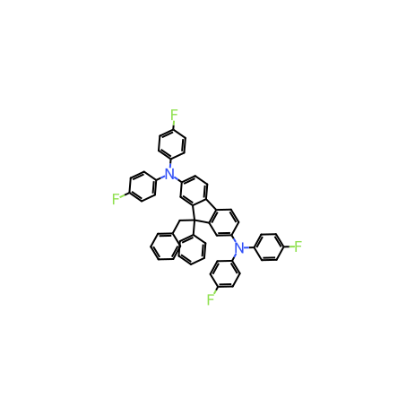 Fc1ccc(N(c2ccc(F)cc2)c2ccc3c(c2)C(Cc2ccccc2)(c2ccccc2)c2cc(N(c4ccc(F)cc4)c4ccc(F)cc4)ccc2-3)cc1